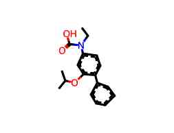 CCN(C(=O)O)c1ccc(-c2ccccc2)c(OC(C)C)c1